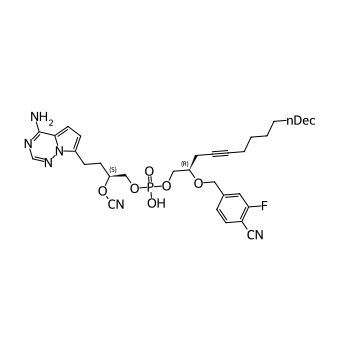 CCCCCCCCCCCCCCC#CC[C@H](COP(=O)(O)OC[C@H](CCc1ccc2c(N)ncnn12)OC#N)OCc1ccc(C#N)c(F)c1